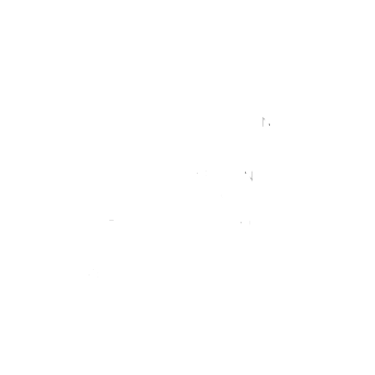 CN(C)/C=N/S(=O)(=O)c1ccc(CO)c(F)c1